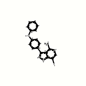 Nc1ncc(I)c2onc(-c3ccc(Oc4ccccc4)cc3)c12